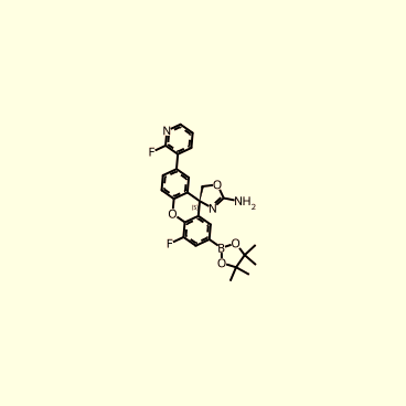 CC1(C)OB(c2cc(F)c3c(c2)[C@]2(COC(N)=N2)c2cc(-c4cccnc4F)ccc2O3)OC1(C)C